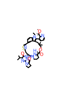 CCn1c(-c2cccnc2[C@H](C)OC)c2c3cc(ccc31)-c1csc(n1)C[C@H](NC(=O)C(C(C)C)N(C)c1ncc3n1CCC3)C(=O)N1CCC[C@H](N1)C(=O)OCC(C)(C)C2